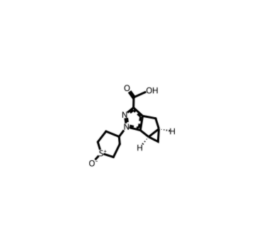 O=C(O)c1nn(C2CC[S+]([O-])CC2)c2c1C[C@H]1C[C@@H]21